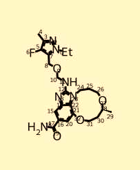 CCn1nc(C)c(F)c1COCNc1nc2cc(C(N)=O)cc3c2n1CCCO[C@@H](C)CCO3